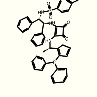 Cc1ccc(S(=O)(=O)N[C@@H](c2ccccc2)[C@@H](Nc2c(N[C@H](C)C3=C(P(c4ccccc4)c4ccccc4)C=CC3)c(=O)c2=O)c2ccccc2)cc1